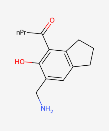 CCCC(=O)c1c(O)c(CN)cc2c1CCC2